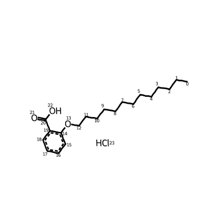 CCCCCCCCCCCCCOc1ccccc1C(=O)O.Cl